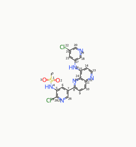 CS(=O)(=O)Nc1cc(-c2ccc3nccc(Nc4cncc(Cl)c4)c3n2)cnc1Cl